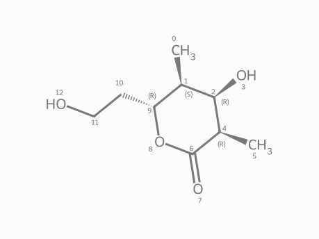 C[C@H]1[C@@H](O)[C@@H](C)C(=O)O[C@@H]1CCO